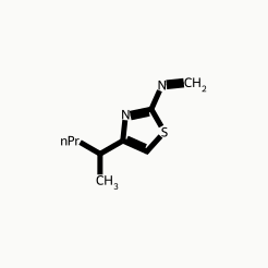 C=Nc1nc(C(C)CCC)cs1